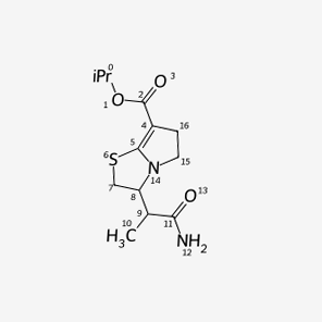 CC(C)OC(=O)C1=C2SCC(C(C)C(N)=O)N2CC1